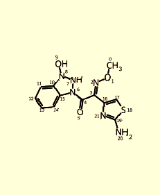 CON=C(C(=O)N1NN(O)c2ccccc21)c1csc(N)n1